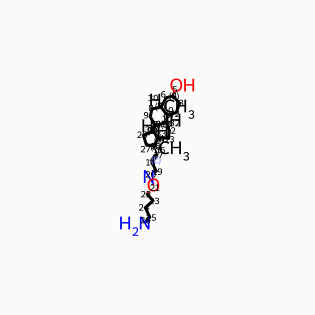 C[C@]12CC[C@H](O)C[C@H]1CC[C@@H]1[C@@H]2CC[C@]2(C)[C@@H](/C=C/C=NOCCCCN)CC[C@@H]12